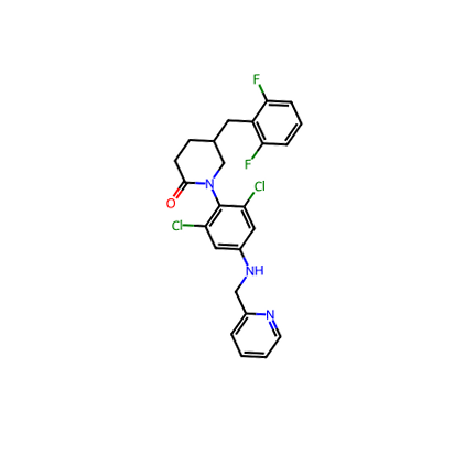 O=C1CCC(Cc2c(F)cccc2F)CN1c1c(Cl)cc(NCc2ccccn2)cc1Cl